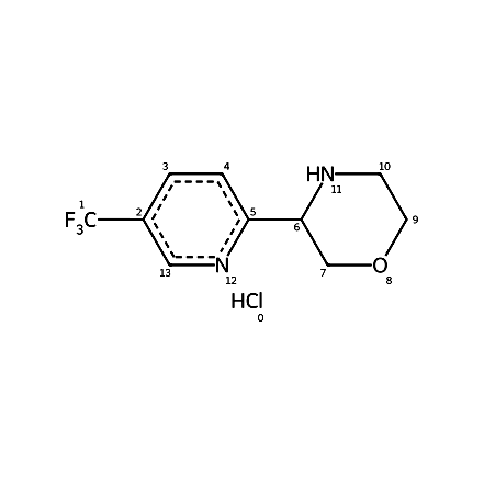 Cl.FC(F)(F)c1ccc(C2COCCN2)nc1